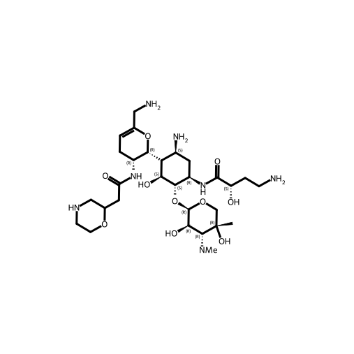 CN[C@@H]1[C@@H](O)[C@@H](O[C@H]2[C@H](NC(=O)[C@@H](O)CCN)C[C@H](N)C([C@H]3OC(CN)=CC[C@H]3NC(=O)CC3CNCCO3)[C@@H]2O)OC[C@]1(C)O